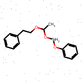 CC(OCCc1ccccc1)O[SiH2]Oc1ccccc1